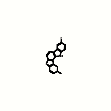 CC1C=Cc2sc3ccc4c5cc(F)ccc5[nH]c4c3c2C1